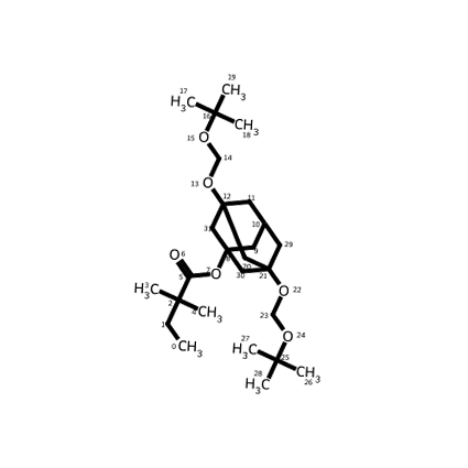 CCC(C)(C)C(=O)OC12CC3CC(OCOC(C)(C)C)(CC(OCOC(C)(C)C)(C3)C1)C2